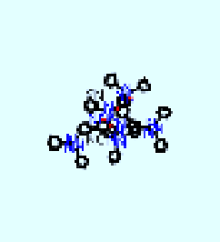 N#Cc1ccc(-n2c3ccc(-c4nc(-c5ccccc5)nc(-c5ccccc5)n4)cc3c3cc(-c4nc(-c5ccccc5)nc(-c5ccccc5)n4)ccc32)c(-c2nc(-c3ccccc3)nc(-c3cc(C#N)ccc3-n3c4ccc(-c5nc(-c6ccccc6)nc(-c6ccccc6)n5)cc4c4cc(-c5nc(-c6ccccc6)nc(-c6ccccc6)n5)ccc43)n2)c1